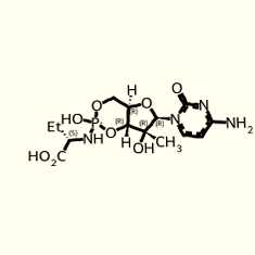 CC[C@H](N[P]1(O)OC[C@H]2O[C@@H](n3ccc(N)nc3=O)[C@](C)(O)[C@@H]2O1)C(=O)O